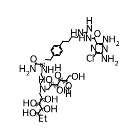 CC[C@@H](O)[C@@H](O)[C@H](O)[C@@H](O)CN(CCCN[C@@H](CCc1ccc(CCCCNC(=N)NC(=O)c2nc(Cl)c(N)nc2N)cc1)C(N)=O)C[C@H](O)[C@@H](O)[C@H](O)[C@H](O)CO